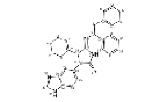 S=C1NC(=NC(Cc2ccccc2)c2ccccc2)C(C2=CCCCC2)N1c1ccc2[nH]cnc2c1